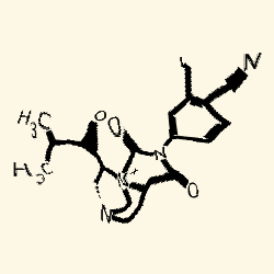 CC(C)C(=O)C1C[N@@]2CC3C(=O)N(c4ccc(C#N)c(I)c4)C(=O)[N+]13C2